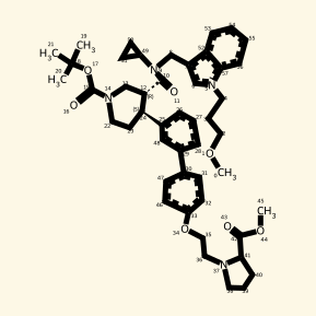 COCCCn1cc(CN(C(=O)[C@H]2CN(C(=O)OC(C)(C)C)CC[C@@H]2c2cccc(-c3ccc(OCCN4CCCC4C(=O)OC)cc3)c2)C2CC2)c2ccccc21